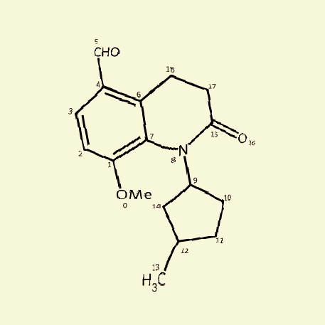 COc1ccc(C=O)c2c1N(C1CCC(C)C1)C(=O)CC2